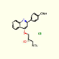 CNC[C@H](O)COc1cc(-c2ccc(OC)cc2)nc2ccccc12.Cl